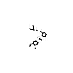 CCC(CO)OC(=O)N[C@@H](C)c1cccc(NC(=O)Nc2ccc(-c3cnco3)c(OC)c2)c1